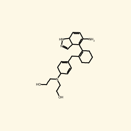 NC1=C(C2=C(CC3=CCC(N(CCO)CCO)C=C3)CCCC2)C2C=NNC2C=C1